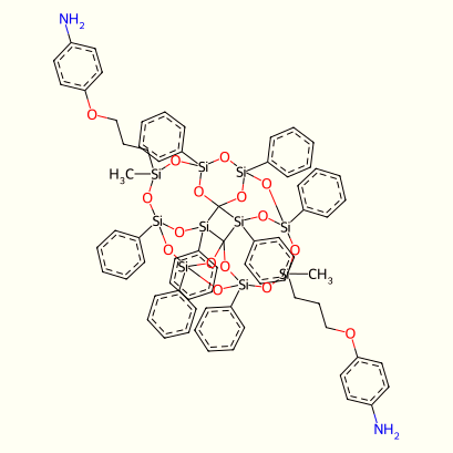 C[Si]1(CCCOc2ccc(N)cc2)O[Si]2(c3ccccc3)OC34O[Si](c5ccccc5)(O2)O[Si]2(c5ccccc5)O[Si](C)(CCCOc5ccc(N)cc5)O[Si]5(c6ccccc6)OC6(O[Si](c7ccccc7)(O5)O[Si](c5ccccc5)(O1)O[Si]63c1ccccc1)[Si]4(c1ccccc1)O2